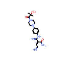 CC(C)(O)C(=O)N1CCN(c2ccc(NC(=N)/C(=C/C=N)C(N)=O)cc2)CC1